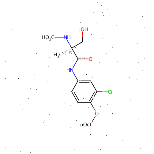 CCCCCCCCOc1ccc(NC(=O)[C@](C)(CO)NC(=O)O)cc1Cl